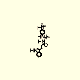 CC(C)[C@H](CNC(=O)CCc1c[nH]c2ccccc12)Nc1ccc(C(F)(F)F)cc1